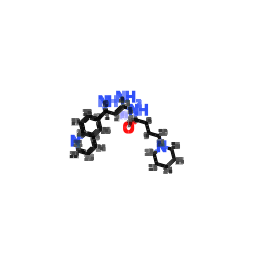 N=C(/C=C(\N)NC(=O)CCCN1CCCCC1)c1ccc2ncccc2c1